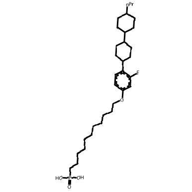 CCCC1CCC(C2CCC(c3ccc(OCCCCCCCCCCCP(=O)(O)O)cc3F)CC2)CC1